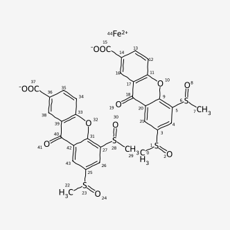 CS(=O)c1cc(S(C)=O)c2oc3ccc(C(=O)[O-])cc3c(=O)c2c1.CS(=O)c1cc(S(C)=O)c2oc3ccc(C(=O)[O-])cc3c(=O)c2c1.[Fe+2]